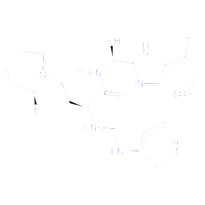 CC[C@H]1CCCCN1C(=O)C[C@H](NC1Nc2ccccc2S1)C(=O)N[C@@H](C)C1Nc2cccc(F)c2N1